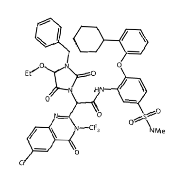 CCOC1C(=O)N(C(C(=O)Nc2cc(S(=O)(=O)NC)ccc2Oc2ccccc2C2CCCCC2)c2nc3ccc(Cl)cc3c(=O)n2C(F)(F)F)C(=O)N1Cc1ccccc1